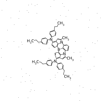 CCCc1ccc(N(c2ccc(CCC)cc2)c2ccc3c4c2cc(C)n4-c2cccc4c2B3c2ccc(N(c3ccc(CCC)cc3)c3ccc(CCC)cc3)c3cc(C)n-4c23)cc1